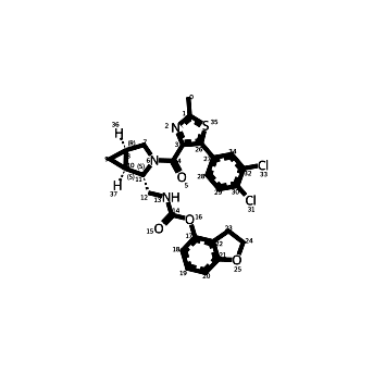 Cc1nc(C(=O)N2C[C@@H]3C[C@@H]3[C@H]2CNC(=O)Oc2cccc3c2CCO3)c(-c2ccc(Cl)c(Cl)c2)s1